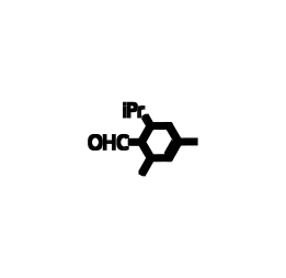 CC1=CC(C)C(C=O)C(C(C)C)C1